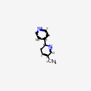 N#CC1=CCC(c2ccncc2)N=C1